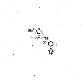 Cc1nnn(-c2cccc(C(=O)N[C@@H](CCCN(C)C(=O)OC(C)(C)C)CC(=O)OC(C)(C)C)c2)n1